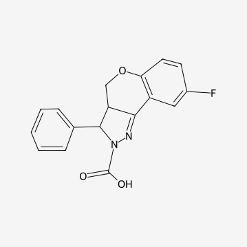 O=C(O)N1N=C2c3cc(F)ccc3OCC2C1c1ccccc1